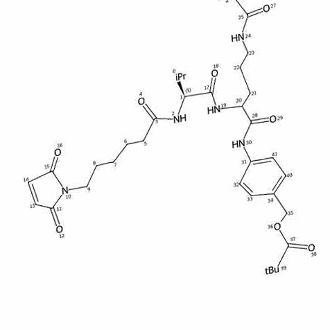 CC(C)[C@H](NC(=O)CCCCCN1C(=O)C=CC1=O)C(=O)NC(CCCNC(N)=O)C(=O)Nc1ccc(COC(=O)C(C)(C)C)cc1